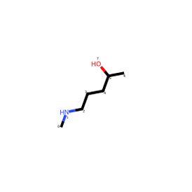 CNCCCC(C)O